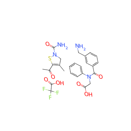 CC(=O)C1=C(C)CN(C(N)=O)S1.NCc1cccc(C(=O)N(CC(=O)O)c2ccccc2)c1.O=C(O)C(F)(F)F